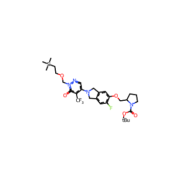 CC(C)(C)OC(=O)N1CCCC1COc1cc2c(cc1F)CN(c1cnn(COCC[Si](C)(C)C)c(=O)c1C(F)(F)F)C2